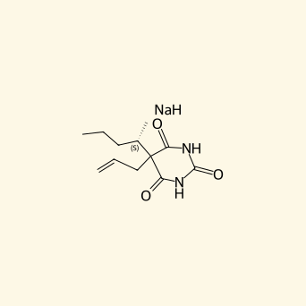 C=CCC1([C@@H](C)CCC)C(=O)NC(=O)NC1=O.[NaH]